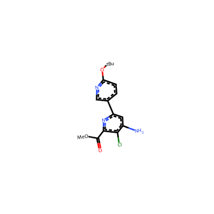 COC(=O)c1nc(-c2ccc(OC(C)(C)C)nc2)cc(N)c1Cl